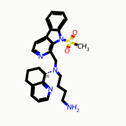 CS(=O)(=O)n1c2ccccc2c2ccnc(CN(CCCCN)[C@H]3CCCc4cccnc43)c21